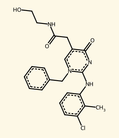 Cc1c(Cl)cccc1Nc1nc(=O)c(CC(=O)NCCO)cn1Cc1ccccc1